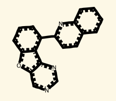 c1ccc2nc(-c3cccc4oc5cncnc5c34)ccc2c1